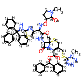 CN1CCC(O/N=C(\C(=O)N[C@@H]2C(=O)N3C(C(=O)OC(c4ccccc4)c4ccccc4)=C(CSc4nnnn4C)CS[C@@H]23)c2csc(NC(c3ccccc3)(c3ccccc3)c3ccccc3)n2)C1=O